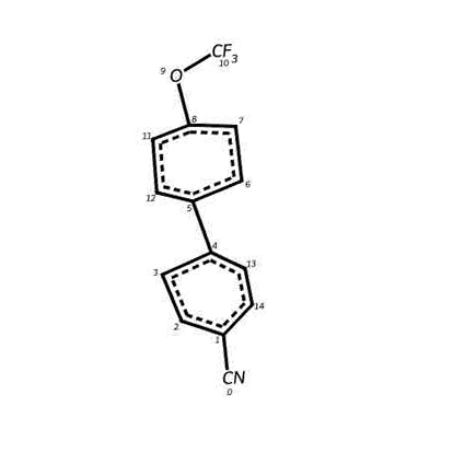 N#Cc1ccc(-c2ccc(OC(F)(F)F)cc2)cc1